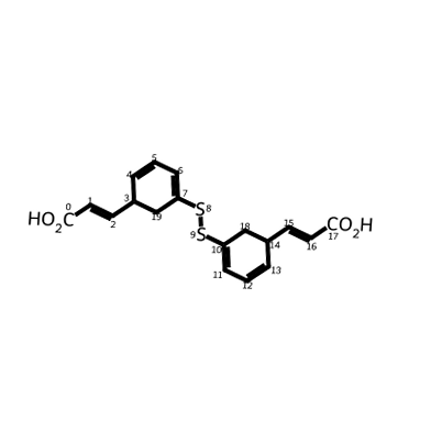 O=C(O)C=CC1C=CC=C(SSC2=CC=CC(C=CC(=O)O)C2)C1